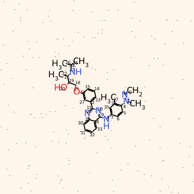 C=NN(C)c1ccc(Nc2nc(-c3cccc(OCC(O)C(C)NC(C)C)c3)nc3ccccc23)cc1C